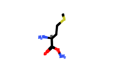 CSCC[C@H](N)C(=O)ON